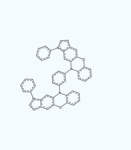 c1ccc(-n2ccc3cc4c(cc32)N(c2cccc(N3c5ccccc5Oc5cc6ccn(-c7ccccc7)c6cc53)c2)c2ccccc2O4)cc1